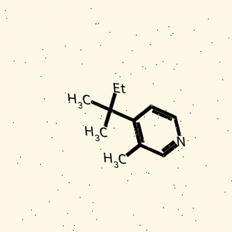 CCC(C)(C)c1ccncc1C